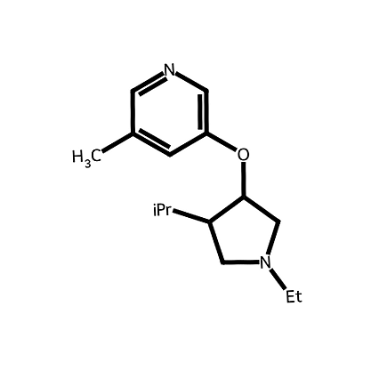 CCN1CC(Oc2cncc(C)c2)C(C(C)C)C1